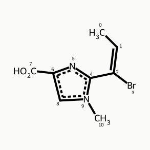 C/C=C(/Br)c1nc(C(=O)O)cn1C